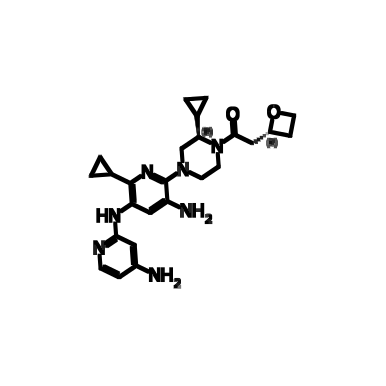 Nc1ccnc(Nc2cc(N)c(N3CCN(C(=O)C[C@H]4CCO4)[C@H](C4CC4)C3)nc2C2CC2)c1